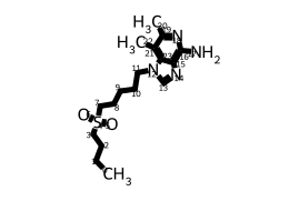 CCCCS(=O)(=O)CCCCCn1cnc2c(N)nc(C)c(C)c21